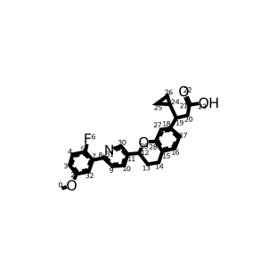 COc1ccc(F)c(-c2ccc(C3CCc4ccc(C(CC(=O)O)C5CC5)cc4O3)cn2)c1